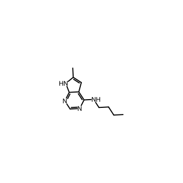 CCCCNc1ncnc2[nH]c(C)cc12